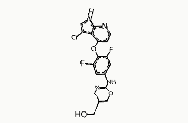 OCC1CN=C(Nc2cc(F)c(Oc3ccnc4[nH]cc(Cl)c34)c(F)c2)OC1